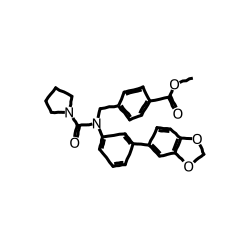 COC(=O)c1ccc(CN(C(=O)N2CCCC2)c2cccc(-c3ccc4c(c3)OCO4)c2)cc1